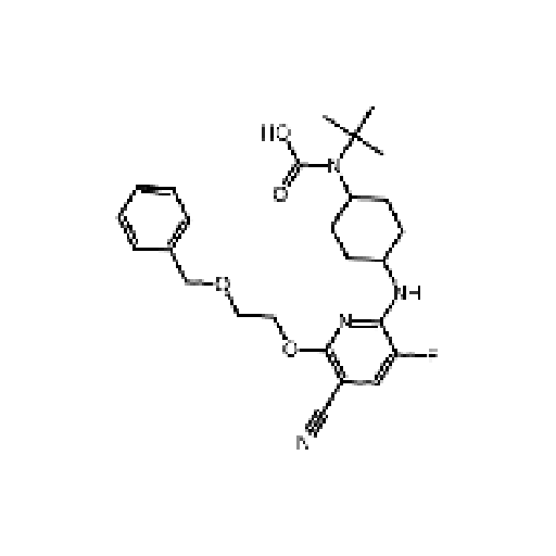 CC(C)(C)N(C(=O)O)C1CCC(Nc2nc(OCCOCc3ccccc3)c(C#N)cc2F)CC1